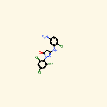 Nc1ccc(Cl)c(NC2=NN(c3c(Cl)cc(Cl)cc3Cl)C(=O)C2)c1